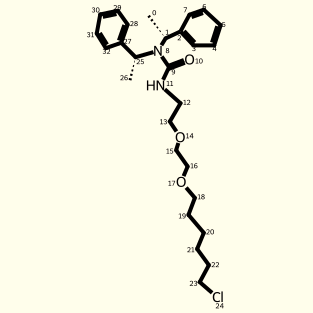 C[C@H](c1ccccc1)N(C(=O)NCCOCCOCCCCCCCl)[C@H](C)c1ccccc1